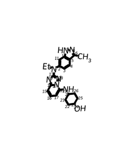 CCN(c1ccc2c(C)n[nH]c2c1)c1nc2cccc(N[C@H]3CC[C@@H](O)CC3)n2n1